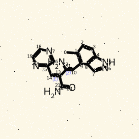 Cc1ccc2[nH]ncc2c1/C=C(N)/C(=C\c1cnccn1)C(N)=O